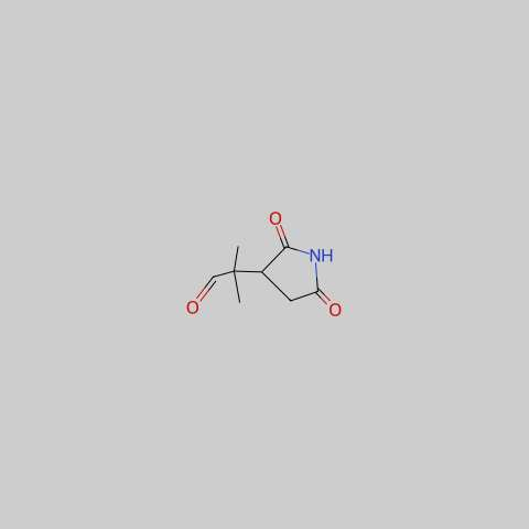 CC(C)(C=O)C1CC(=O)NC1=O